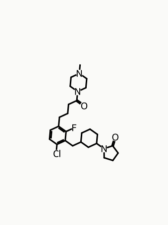 CN1CCN(C(=O)CCCc2ccc(Cl)c(CC3CCCC(N4CCCC4=O)C3)c2F)CC1